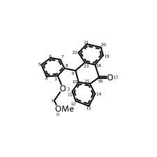 COCOc1ccccc1C1c2ccccc2C(=O)c2ccccc21